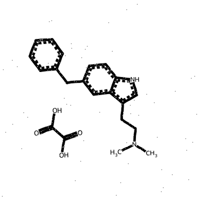 CN(C)CCc1c[nH]c2ccc(Cc3ccccc3)cc12.O=C(O)C(=O)O